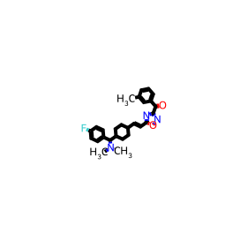 Cc1cccc(C(=O)c2noc(C=CC3CCC(C(c4ccc(F)cc4)N(C)C)CC3)n2)c1